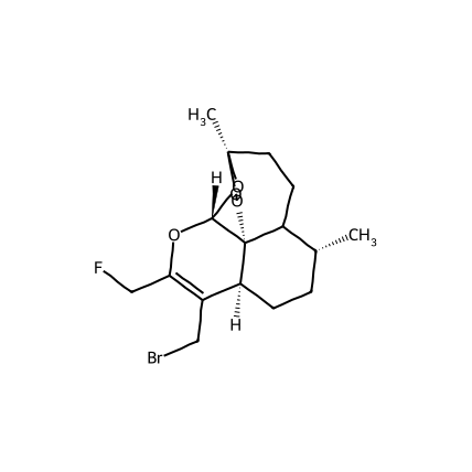 C[C@@H]1CC[C@H]2C(CBr)=C(CF)O[C@@H]3O[C@]4(C)CCC1[C@]32OO4